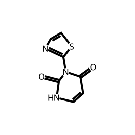 O=c1cc[nH]c(=O)n1-c1nccs1